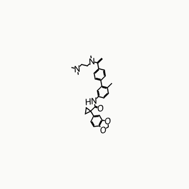 C=C(c1ccc(-c2cc(NC(=O)C3(c4ccc5c(c4)OCO5)CC3)ccc2C)cc1)N(C)CCN(C)C